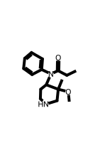 CCC(=O)N(c1ccccc1)C1CCNCC1(C)OC